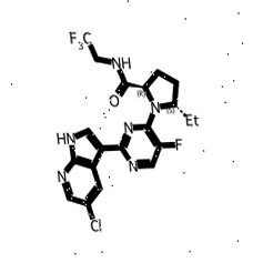 CC[C@H]1CC[C@H](C(=O)NCC(F)(F)F)N1c1nc(-c2c[nH]c3ncc(Cl)cc23)ncc1F